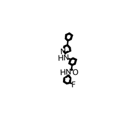 O=C(Nc1cccc(F)c1)c1cccc(Nc2ccc(-c3ccccc3)cn2)c1